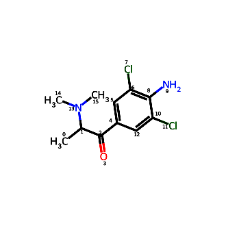 CC(C(=O)c1cc(Cl)c(N)c(Cl)c1)N(C)C